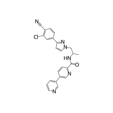 CC(Cn1ccc(-c2ccc(C#N)c(Cl)c2)n1)NC(=O)c1ccc(-c2cccnc2)cn1